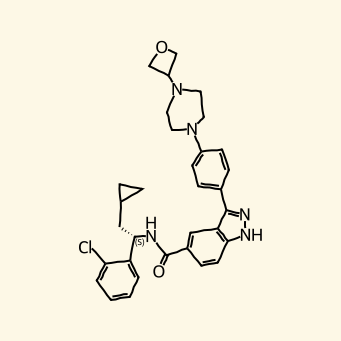 O=C(N[C@@H](CC1CC1)c1ccccc1Cl)c1ccc2[nH]nc(-c3ccc(N4CCN(C5COC5)CC4)cc3)c2c1